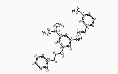 Cc1cccc(C=NNc2cc(N(C)C)nc(OCCc3ccccn3)n2)c1